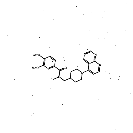 COc1ccc(C(=O)N(C)CC2CCN(c3ccnc4nccnc34)CC2)cc1OC